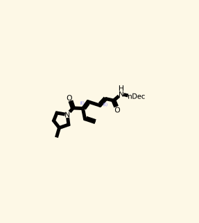 C=C/C(=C\C=C\C(=O)NCCCCCCCCCC)C(=O)N1CCC(C)C1